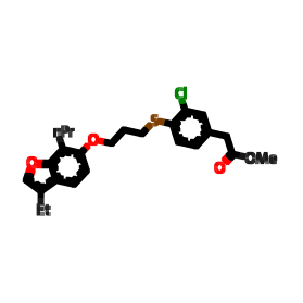 CCCc1c(OCCCSc2ccc(CC(=O)OC)cc2Cl)ccc2c(CC)coc12